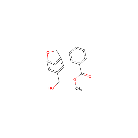 COC(=O)c1ccccc1.OCc1cc2cc(c1)OC2